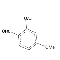 COc1ccc(C=O)c(OC(C)=O)c1